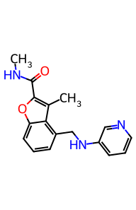 CNC(=O)c1oc2cccc(CNc3cccnc3)c2c1C